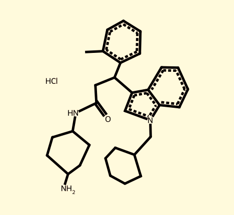 Cc1ccccc1C(CC(=O)NC1CCC(N)CC1)c1cn(CC2CCCCC2)c2ccccc12.Cl